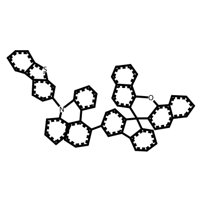 c1ccc(N(c2ccc3c(c2)sc2ccccc23)c2ccccc2-c2ccccc2-c2ccc3c(c2)-c2ccccc2C32c3ccc4ccccc4c3Oc3c2ccc2ccccc32)cc1